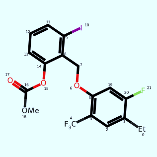 CCc1cc(C(F)(F)F)c(OCc2c(I)cccc2OC(=O)OC)cc1F